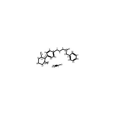 CC#N.CN(CCCc1ccc(C2C(F)CCCC2F)cc1)Cc1ccccc1